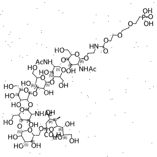 CC(=O)NC1[C@H](OCCNC(=O)OCCOCCOCCP(=O)(O)O)OC(CO)[C@@H](O[C@@H]2OC(CO)[C@@H](O[C@@H]3OC(CO)[C@@H](O)[C@H](O[C@H]4O[C@@H](CO)[C@@H](O)C(O)C4O[C@@H]4OC(CO)[C@@H](O[C@@H]5OC(CO[C@]6(C(=O)O)C[C@@H](O)[C@@H](C)C([C@H](O)[C@H](O)CO)O6)[C@H](O)[C@H](O)C5O)[C@H](O)C4NC(C)=O)C3O)[C@H](O)C2NC(C)=O)[C@@H]1O